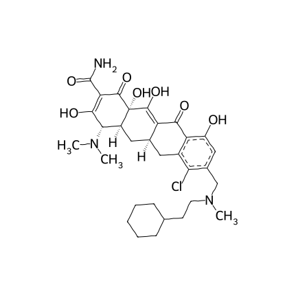 CN(CCC1CCCCC1)Cc1cc(O)c2c(c1Cl)C[C@H]1C[C@H]3[C@H](N(C)C)C(O)=C(C(N)=O)C(=O)[C@@]3(O)C(O)=C1C2=O